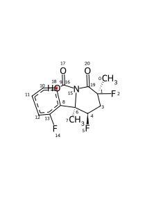 C[C@]1(F)C[C@@H](F)[C@@](C)(c2ccccc2F)N(C(=O)O)C1=O